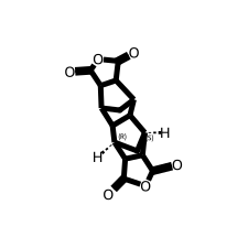 O=C1OC(=O)C2C3CC(C12)C1C3[C@H]2C[C@@H]1C1C(=O)OC(=O)C12